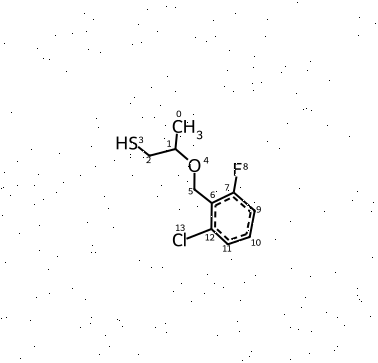 CC(CS)OCc1c(F)cccc1Cl